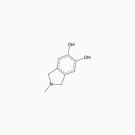 CN1Cc2cc(O)c(O)cc2C1